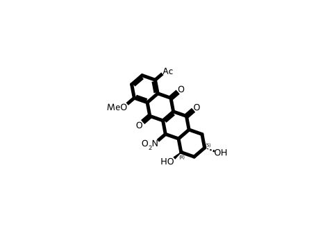 COc1ccc(C(C)=O)c2c1C(=O)C1=C(C2=O)C(=O)C2C[C@H](O)C[C@@H](O)C2C1[N+](=O)[O-]